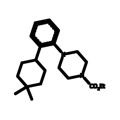 CCOC(=O)N1CCN(c2ccccc2C2CCC(C)(C)CC2)CC1